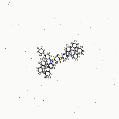 c1ccc(-c2ccc(N(c3ccc(-c4ccc5c(c4)c4cccc6c4n5-c4ccccc4C6(c4ccccc4)c4ccccc4)cc3)c3ccc4c(c3)C(c3ccccc3)(c3ccccc3)c3ccccc3-4)cc2)cc1